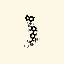 CNC(=O)c1n[nH]c2c(F)c(-c3c(F)ccc(NS(=O)(=O)c4cc(F)cc5c4CCC5=O)c3F)ccc12